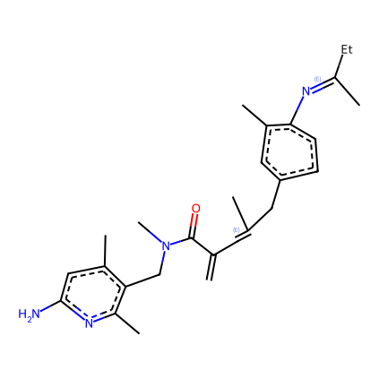 C=C(/C=C(\C)Cc1ccc(/N=C(\C)CC)c(C)c1)C(=O)N(C)Cc1c(C)cc(N)nc1C